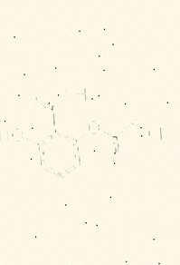 CCC(=O)Oc1cccc(O)c1C(C)=O